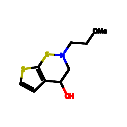 COCCN1CC(O)c2ccsc2S1